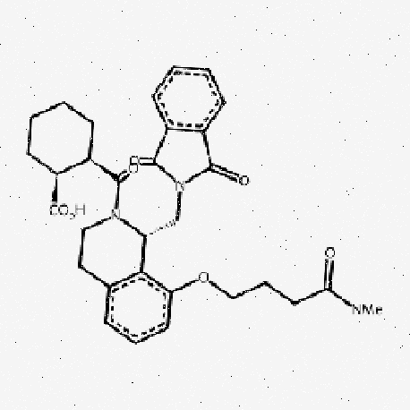 CNC(=O)CCCOc1cccc2c1[C@@H](CN1C(=O)c3ccccc3C1=O)N(C(=O)[C@@H]1CCCC[C@@H]1C(=O)O)CC2